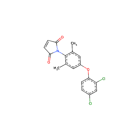 Cc1cc(Oc2ccc(Cl)cc2Cl)cc(C)c1N1C(=O)C=CC1=O